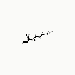 C=CC(=O)OCCCOCCC